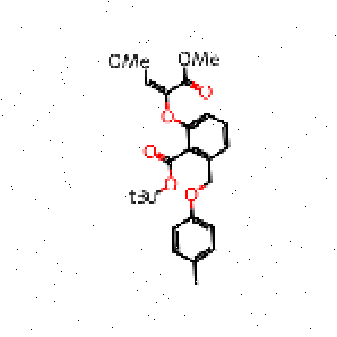 COC=C(Oc1cccc(COc2ccc(C)cc2)c1C(=O)OC(C)(C)C)C(=O)OC